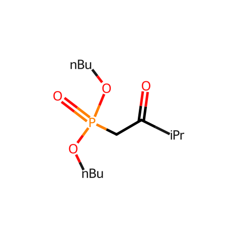 CCCCOP(=O)(CC(=O)C(C)C)OCCCC